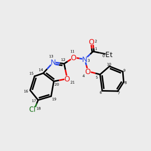 CCC(=O)N(Oc1ccccc1)Oc1nc2ccc(Cl)cc2o1